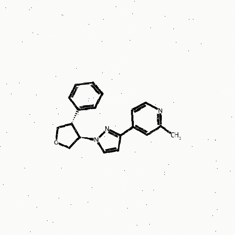 Cc1cc(-c2ccn([C@H]3COC[C@@H]3c3ccccc3)n2)ccn1